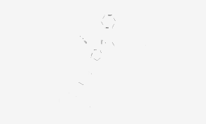 CCC(C)C(C(=O)Nc1sc2c(c1C#N)CCN(OC(=O)OC(C)(C)C)C2)c1ccccc1